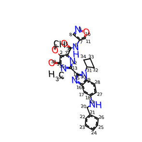 COc1c(C(=O)Nc2cnoc2)nc(-c2nc3cc(NCc4ccccc4)ccc3n2C2CCC2)n(C)c1=O